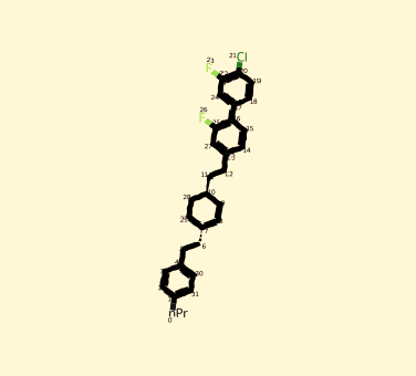 CCCc1ccc(CC[C@H]2CC[C@H](CCc3ccc(-c4ccc(Cl)c(F)c4)c(F)c3)CC2)cc1